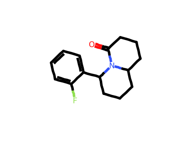 O=C1CCCC2CCCC(c3ccccc3F)N12